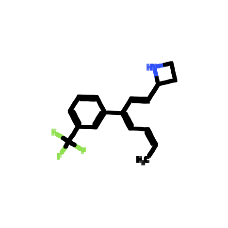 C\C=C/C=C(\C=C\C1CCN1)c1cccc(C(F)(F)F)c1